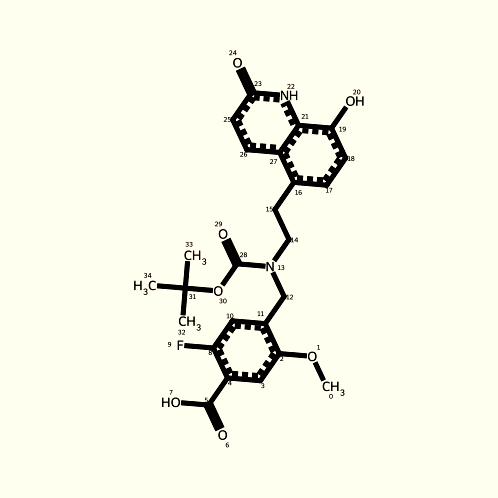 COc1cc(C(=O)O)c(F)cc1CN(CCc1ccc(O)c2[nH]c(=O)ccc12)C(=O)OC(C)(C)C